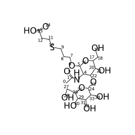 CC(=O)NC1C(OCCCSCCC(=O)O)OC(CO)C(O)C1OC1OC(CO)C(O)C(O)C1O